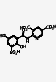 O=C(O)c1cnc(NC(=O)c2cc(O)cc(S(=O)(=O)O)c2O)c(C(=O)O)c1